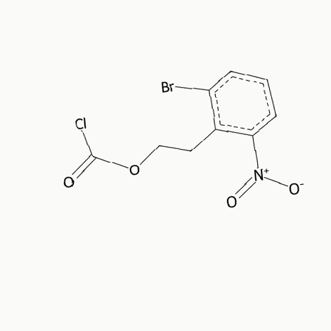 O=C(Cl)OCCc1c(Br)cccc1[N+](=O)[O-]